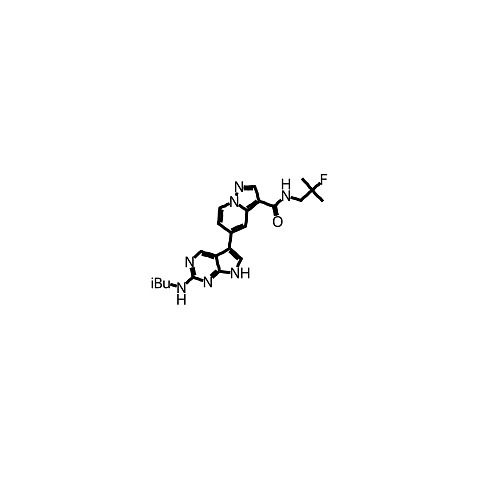 CCC(C)Nc1ncc2c(-c3ccn4ncc(C(=O)NCC(C)(C)F)c4c3)c[nH]c2n1